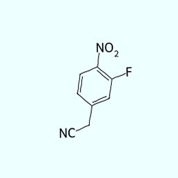 N#CCc1ccc([N+](=O)[O-])c(F)c1